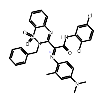 Cc1cc(N(C)C)ccc1/N=C(\C(=O)Nc1cc(Cl)ccc1Cl)C1=Nc2ccccc2S(=O)(=O)N1Cc1ccccc1